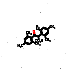 Cc1cc(C)c(C(=O)C(C(=O)O)c2c(C)cc(C)cc2C)c(C)c1